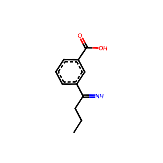 CCCC(=N)c1cccc(C(=O)O)c1